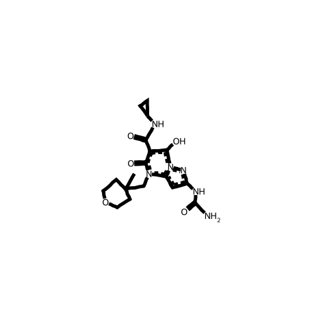 CC1(Cn2c(=O)c(C(=O)NC3CC3)c(O)n3nc(NC(N)=O)cc23)CCOCC1